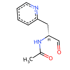 CC(=O)N[C@@H](C=O)Cc1ccccn1